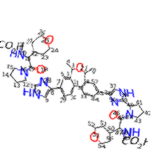 CC1OC(C)c2cc(-c3c[nH]c([C@@H]4CCCN4C(=O)[C@@H](NC(=O)O)C4CCOCC4)n3)ccc2-c2ccc(-c3c[nH]c(C4CCCN4C(=O)C(NC(=O)O)C4CCOCC4)n3)cc21